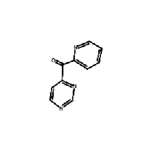 O=C(c1ccn[c]n1)c1ccccn1